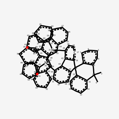 CC1(C)c2ccccc2C2(c3ccccc31)c1cccc(N(c3ccccc3)c3cc4ccccc4c4ccccc34)c1-c1c(N(c3ccccc3)c3cc4ccccc4c4ccccc34)cccc12